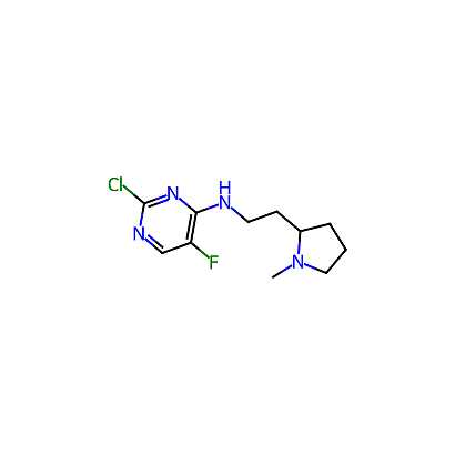 CN1CCCC1CCNc1nc(Cl)ncc1F